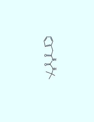 CC(C)(C)NC(=O)NC(=O)Cc1ccccc1